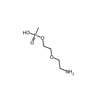 CP(=O)(O)OCCOCCN